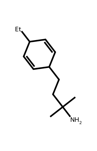 CCC1C=CC(CCC(C)(C)N)C=C1